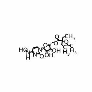 CCOC(CC)(CC)C(=O)OC[C@H]1O[C@@H](n2ccc(NO)nc2=O)[C@H](O)[C@@H]1O